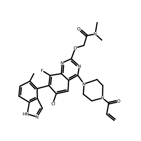 C=CC(=O)N1CCN(c2nc(OCC(=O)N(C)C)nc3c(F)c(-c4c(C)ccc5[nH]ncc45)c(Cl)cc23)CC1